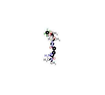 CCCN(CCC)C(=O)C1=Cc2ccc(-c3cccc(C(=O)N4CCN(CCC(C)(C)OCCC(C)(C)C(=O)Oc5c(F)c(F)cc(F)c5F)CC4)c3)cc2N=C(N)C1